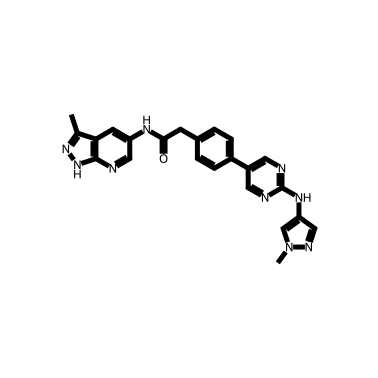 Cc1n[nH]c2ncc(NC(=O)Cc3ccc(-c4cnc(Nc5cnn(C)c5)nc4)cc3)cc12